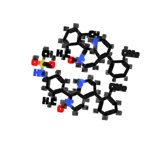 COc1ccccc1-c1ccnc2c(-c3c(C)cccc3C)[n+]([O-])ccc12.COc1ccccc1-c1ccnc2c(-c3ccc(NS(C)(=O)=O)cc3C)[n+]([O-])ccc12